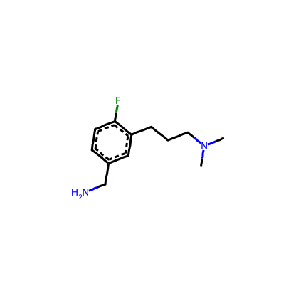 CN(C)CCCc1cc(CN)ccc1F